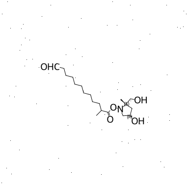 CC(CCCCCCCCCC=O)C(=O)ON1C[C@H](O)C[C@@]1(C)CO